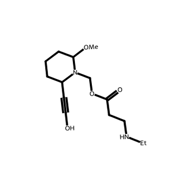 CCNCCC(=O)OCN1C(C#CO)CCCC1OC